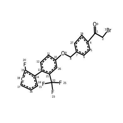 O=C(CBr)c1ccc(COc2ccc(-c3ccccc3F)c(C(F)(F)F)c2)cc1